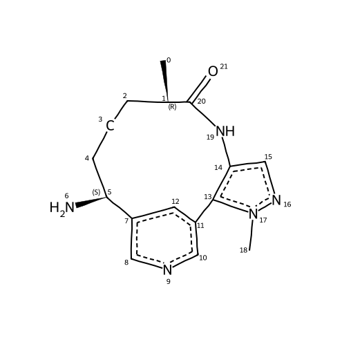 C[C@@H]1CCC[C@H](N)c2cncc(c2)-c2c(cnn2C)NC1=O